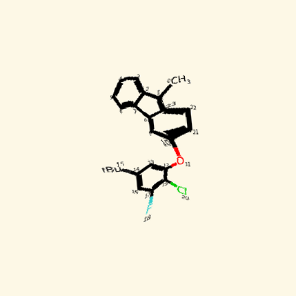 CC1c2ccccc2-c2cc(Oc3cc(C(C)(C)C)cc(F)c3Cl)ccc21